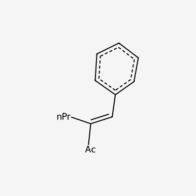 CCC/C(=C\c1ccccc1)C(C)=O